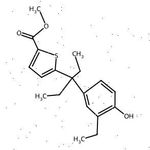 CCc1cc(C(CC)(CC)c2ccc(C(=O)OC)s2)ccc1O